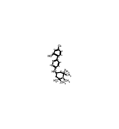 CN1C(C)(C)CC(Nc2ccc(-c3ccc(Cl)cc3O)nn2)CC1(C)C